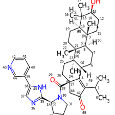 CC(C)C1=C2[C@H]3CC[C@@H]4[C@@]5(C)CC[C@H](O)C(C)(C)[C@@H]5CC[C@@]4(C)[C@]3(C)CC[C@@]2(C(=O)N2CCC[C@H]2c2ncc(-c3cccnc3)[nH]2)CC1=O